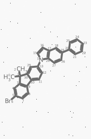 CC1(C)c2cc(Br)ccc2-c2ccc(-n3ccc4cc(-c5ccccc5)ccc43)cc21